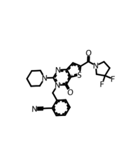 N#Cc1ccccc1Cn1c(N2CCCCC2)nc2cc(C(=O)N3CCC(F)(F)C3)sc2c1=O